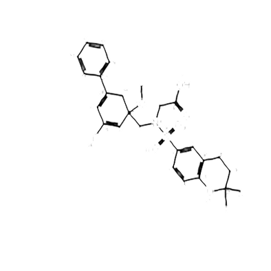 COC1(CN(CC(=O)O)S(=O)(=O)c2ccc3c(c2)CCC(C)(C)O3)C=C(F)C=C(c2ccccc2)C1